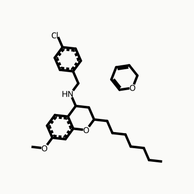 C1=CCOC=C1.CCCCCCCC1CC(NCc2ccc(Cl)cc2)c2ccc(OC)cc2O1